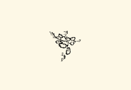 C=COC(=O)C(OC(C)=O)C(OC(C)=O)C(=O)OC=C